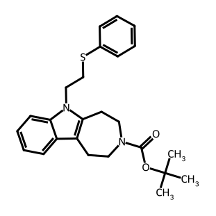 CC(C)(C)OC(=O)N1CCc2c(n(CCSc3ccccc3)c3ccccc23)CC1